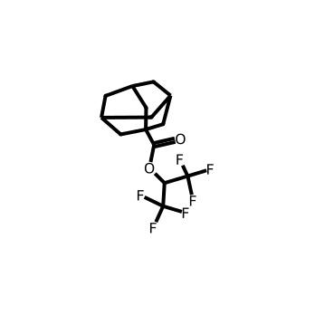 O=C(OC(C(F)(F)F)C(F)(F)F)C12CC3CC(CC(C3)C1)C2